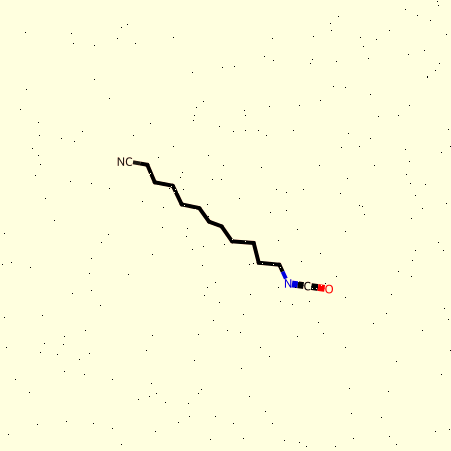 N#CCCCCCCCCCCCN=C=O